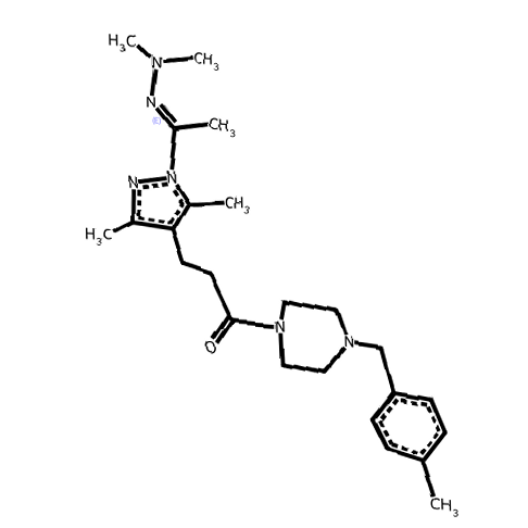 C/C(=N\N(C)C)n1nc(C)c(CCC(=O)N2CCN(Cc3ccc(C)cc3)CC2)c1C